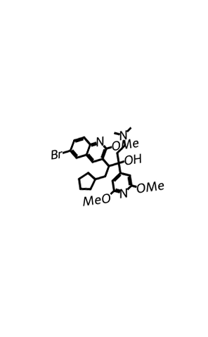 COc1cc(C(O)(CCN(C)C)C(CC2CCCC2)c2cc3cc(Br)ccc3nc2OC)cc(OC)n1